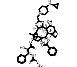 CC(=O)O[C@@]12COC1C[C@H](O)[C@@]1(C)[C@@H]3OC(CN4CCC(NC5CC5)CC4)O[C@@H]3C3=C(C)[C@@H](OC(=O)[C@H](O)[C@@H](NC(=O)OC(C)(C)C)c4ccccc4)C[C@@](O)([C@@H](OC(=O)c4ccccc4)[C@@H]12)C3(C)C